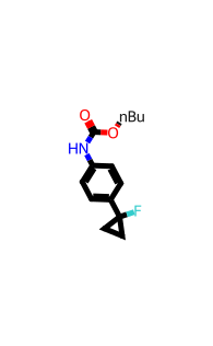 CCCCOC(=O)Nc1ccc(C2(F)CC2)cc1